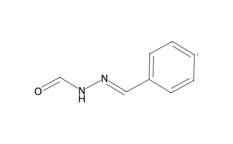 O=CNN=Cc1cc[c]cc1